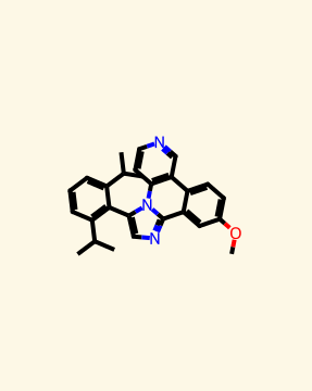 COc1ccc2c3cnccc3n3c(-c4c(C(C)C)cccc4C(C)C)cnc3c2c1